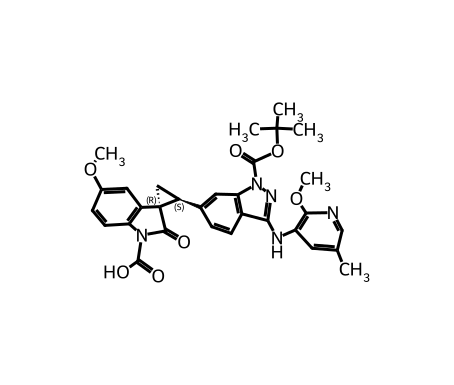 COc1ccc2c(c1)[C@]1(C[C@H]1c1ccc3c(Nc4cc(C)cnc4OC)nn(C(=O)OC(C)(C)C)c3c1)C(=O)N2C(=O)O